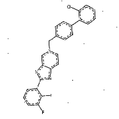 Fc1cccc(-c2nc3ccn(Cc4ccc(-c5ccccc5Cl)cc4)cc-3n2)c1F